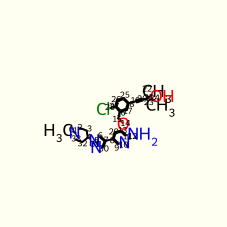 CN1CCC(n2cc(-c3cnc(N)c(OCc4cc(C#CC(C)(C)O)ccc4Cl)c3)cn2)CC1